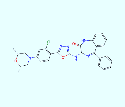 C[C@@H]1CN(c2ccc(-c3nnc(N[C@H]4N=C(c5ccccc5)c5ccccc5NC4=O)o3)c(Cl)c2)C[C@H](C)O1